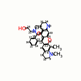 Cc1c2c(cc3c1N(C)CCC3)C(c1ccccc1C(=O)N(C)CCO)=c1cc3c(cc1O2)=NCCC3